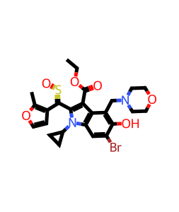 CCOC(=O)c1c(C(=S=O)c2ccoc2C)n(C2CC2)c2cc(Br)c(O)c(CN3CCOCC3)c12